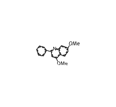 COc1ccc2c(OC)cc(-c3ccccc3)nc2c1